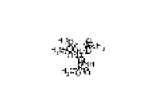 C=CC(=O)N[C@H]1COC[C@H]1Nc1cc2c(N3CCCC(OC)(OC)C3)nc(-c3c(Cl)c(OC)cc(OC)c3Cl)nc2cn1